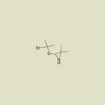 CCC(C)(C)OC1NC1(C)C